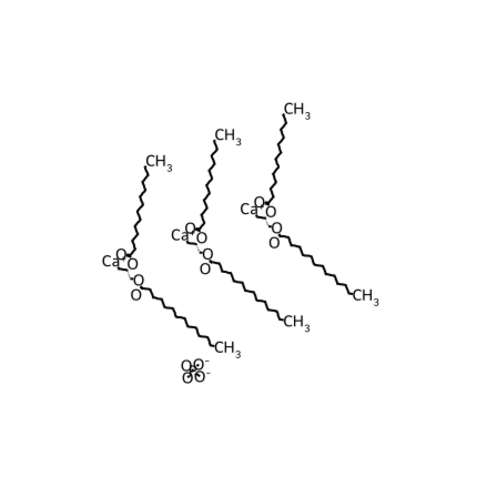 CCCCCCCCCCCCCC(=O)OC[C@H]([CH2][Ca+])OC(=O)CCCCCCCCCCCCC.CCCCCCCCCCCCCC(=O)OC[C@H]([CH2][Ca+])OC(=O)CCCCCCCCCCCCC.CCCCCCCCCCCCCC(=O)OC[C@H]([CH2][Ca+])OC(=O)CCCCCCCCCCCCC.O=P([O-])([O-])[O-]